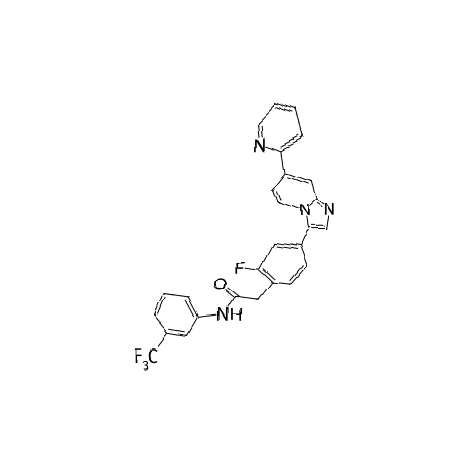 O=C(Cc1ccc(-c2cnc3cc(-c4ccccn4)ccn23)cc1F)Nc1cccc(C(F)(F)F)c1